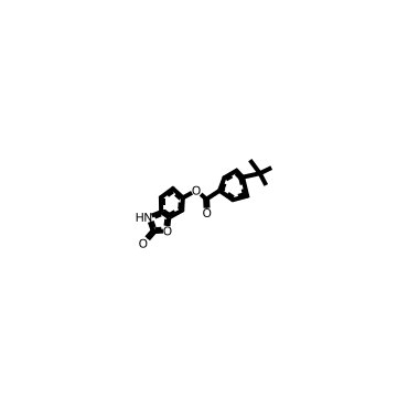 CC(C)(C)c1ccc(C(=O)Oc2ccc3[nH]c(=O)oc3c2)cc1